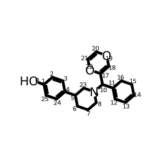 Oc1ccc(C2CCCN(C(C3=CC=CCC3)C3=COC=CO3)C2)cc1